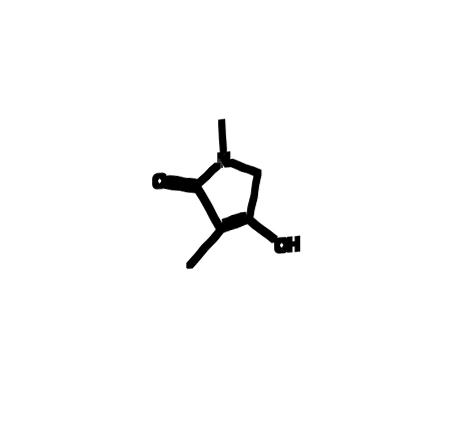 CC1=C(O)CN(C)C1=O